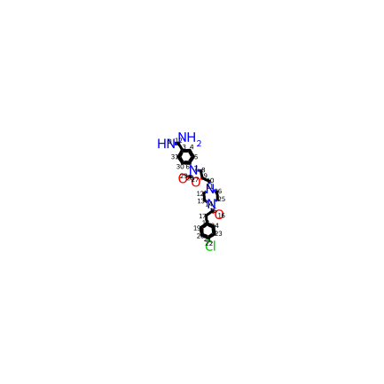 N=C(N)c1ccc(N2CC(CN3CCN(C(=O)Cc4ccc(Cl)cc4)CC3)OC2=O)cc1